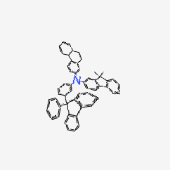 CC1(C)c2ccccc2-c2ccc(N(c3cccc(C4(c5ccccc5)c5ccccc5-c5ccccc54)c3)c3ccc4c(c3)C=CC3C=CC=CC43)cc21